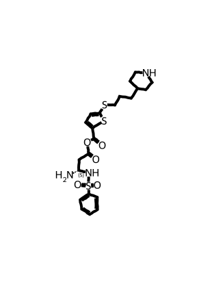 N[C@H](CC(=O)OC(=O)c1ccc(SCCCC2CCNCC2)s1)NS(=O)(=O)c1ccccc1